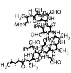 C=CCCC(=O)N[C@@H](C)C(=O)N[C@@H](N[C@@H](C=O)C(C)C)C(=O)N(CC=C)[C@@H](NCC=O)C(=O)N[C@@H](C)C(=O)N[C@@H](C)C(=O)N[C@@H](N[C@@H](C=O)CC(C)C)C(=O)N[C@@H](N[C@@H](C)C=O)C(=O)N[C@@H](C)C(=O)N[C@@H](C)CNC